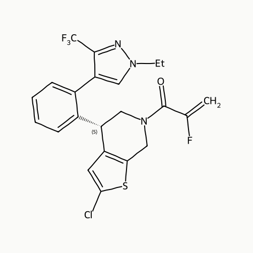 C=C(F)C(=O)N1Cc2sc(Cl)cc2[C@H](c2ccccc2-c2cn(CC)nc2C(F)(F)F)C1